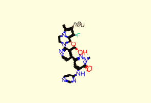 CCCCc1c(F)c2n(c1C)CCN(c1nccc(-c3cc(Nc4ccncn4)c(=O)n(C)n3)c1CO)C2=O